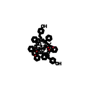 C[C@@H]1O[Si]2(c3ccccc3)O[Si](C)(CCc3ccc(O)cc3)O[Si]3(c4ccccc4)OC4(c5ccccc5)[Si]5(CO[Si](c6ccccc6)(O[Si](C)(CCc6ccc(O)cc6)O[Si]1(c1ccccc1)O[Si](c1ccccc1)(O2)O5)O[Si]4(OSc1ccccc1)c1ccccc1)O3